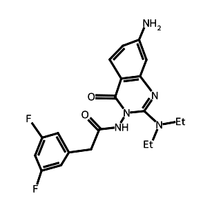 CCN(CC)c1nc2cc(N)ccc2c(=O)n1NC(=O)Cc1cc(F)cc(F)c1